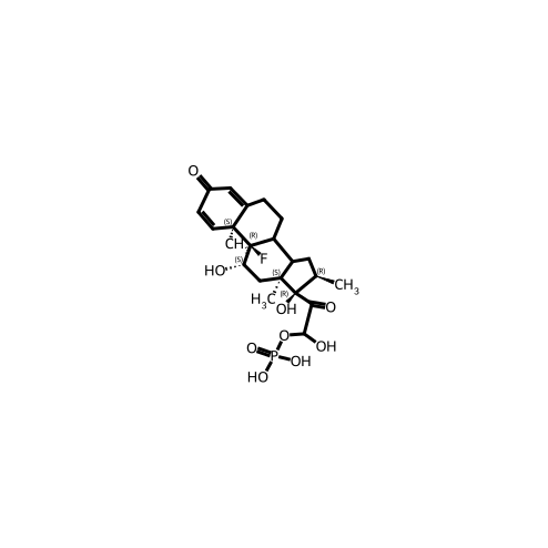 C[C@@H]1CC2C3CCC4=CC(=O)C=C[C@]4(C)[C@@]3(F)[C@@H](O)C[C@]2(C)[C@@]1(O)C(=O)C(O)OP(=O)(O)O